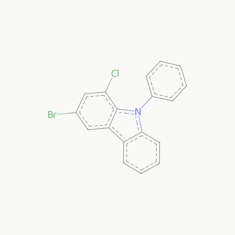 Clc1cc(Br)cc2c3ccccc3n(-c3ccccc3)c12